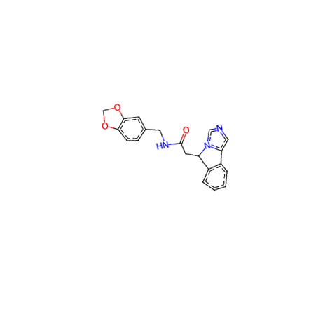 O=C(CC1c2ccccc2-c2cncn21)NCc1ccc2c(c1)OCO2